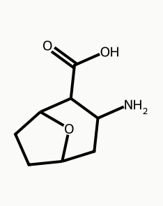 NC1CC2CCC(O2)C1C(=O)O